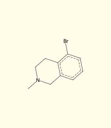 CN1CCc2c(Br)cccc2C1